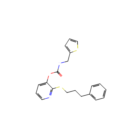 O=C(NCc1cccs1)Oc1cccnc1SCCCc1ccccc1